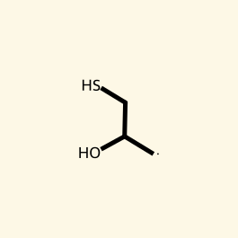 [CH2]C(O)CS